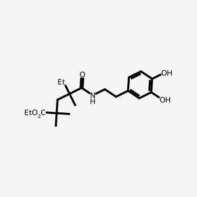 CCOC(=O)C(C)(C)CC(C)(CC)C(=O)NCCc1ccc(O)c(O)c1